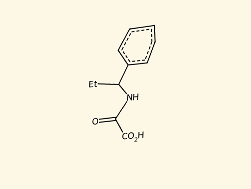 CCC(NC(=O)C(=O)O)c1ccccc1